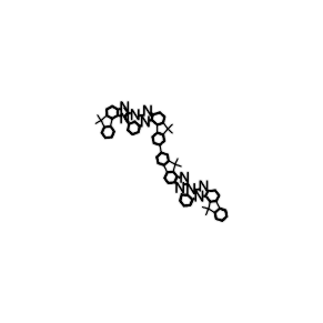 CC1(C)c2ccccc2-c2c1ccc1nc3n(c4cccc5c4n3c3nc4ccc6c(c4n53)-c3ccc(-c4ccc5c(c4)C(C)(C)c4c-5ccc5c4nc4n5c5cccc7c5n4c4nc5ccc8c(c5n74)C(C)(C)c4ccccc4-8)cc3C6(C)C)c21